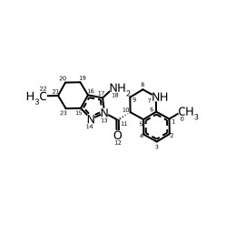 Cc1cccc2c1NCC[C@H]2C(=O)n1nc2c(c1N)CCC(C)C2